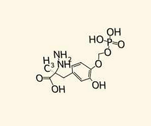 C[C@@](Cc1ccc(OCOP(=O)(O)O)c(O)c1)(NN)C(=O)O